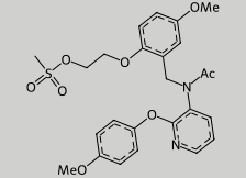 COc1ccc(Oc2ncccc2N(Cc2cc(OC)ccc2OCCOS(C)(=O)=O)C(C)=O)cc1